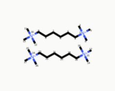 C[N+](C)(C)CCCCCC[N+](C)(C)C.C[N+](C)(C)CCCCCC[N+](C)(C)C